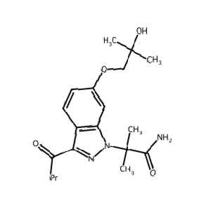 CC(C)C(=O)c1nn(C(C)(C)C(N)=O)c2cc(OCC(C)(C)O)ccc12